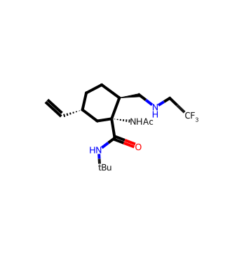 C=C[C@@H]1CC[C@@H](CNCC(F)(F)F)[C@@](NC(C)=O)(C(=O)NC(C)(C)C)C1